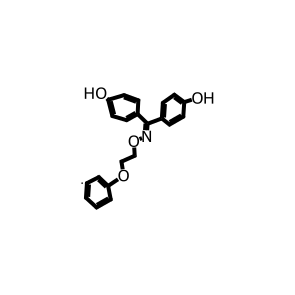 Oc1ccc(C(=NOCCOc2c[c]ccc2)c2ccc(O)cc2)cc1